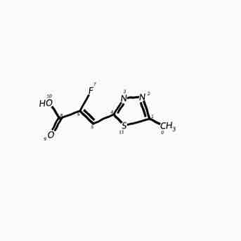 Cc1nnc(/C=C(\F)C(=O)O)s1